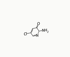 NC1N=CC(Cl)=CC1=O